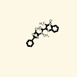 Cc1oc(-c2ccccc2)nc1N(C)C(=O)c1nc2ccccc2[n+]([O-])c1C